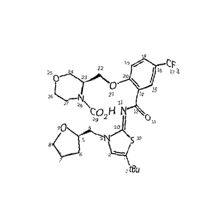 CC(C)(C)c1cn(C[C@H]2CCCO2)/c(=N/C(=O)c2cc(C(F)(F)F)ccc2OC[C@@H]2COCCN2C(=O)O)s1